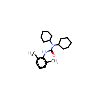 Cc1cccc(C)c1NC(=O)N(C1CCCCC1)C1CCCCC1